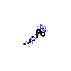 CCOC(=O)c1cn2c(n1)CN(Cc1cc3cc(Cl)c4c(c3o1)C1(CCCCC1)NC(=O)N4)CC2